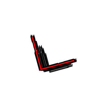 [CaH2].[CaH2].[CaH2].[CaH2].[CaH2].[CaH2].[CaH2].[CaH2].[CaH2].[CaH2].[CaH2].[CaH2].[CaH2].[CaH2].[CaH2].[CaH2].[CaH2].[CaH2].[CaH2].[CaH2].[CaH2].[CaH2].[Fe].[Fe].[Fe].[Fe].[Fe].[Fe].[Fe].[Fe].[Fe].[Fe].[Fe].[Fe].[Fe].[Fe].[Fe].[Fe].[Fe].[Fe].[Fe].[Fe].[Fe].[Fe].[MgH2].[MgH2].[MgH2].[MgH2].[MgH2].[MgH2].[MgH2].[MgH2].[MgH2].[MgH2].[MgH2].[MgH2].[MgH2].[MgH2].[MgH2].[MgH2].[MgH2].[MgH2].[MgH2].[MgH2].[MgH2].[MgH2].[MgH2].[MgH2].[MgH2].[MgH2].[MgH2].[MgH2].[MgH2].[MgH2].[MgH2].[MgH2].[MgH2].[MgH2].[MgH2].[MgH2].[MgH2].[MgH2].[MgH2].[MgH2].[MgH2].[MgH2].[MgH2].[MgH2].[MgH2].[MgH2].[MgH2].[MgH2].[MgH2].[MgH2].[MgH2].[MgH2].[MgH2].[MgH2].[MgH2].[MgH2].[MgH2].[MgH2].[MgH2].[MgH2].[MgH2].[MgH2].[MgH2].[MgH2].[MgH2].[MgH2].[MgH2].[MgH2].[MgH2].[MgH2].[MgH2].[MgH2].[MgH2].[MgH2].[MgH2].[MgH2].[Ni].[Ni].[Ni].[Ni].[Ni].[Ni].[Ni].[Ni].[Ni].[Ni].[Ni].[Ni].[Ni].[Ni].[Ni].[Ni].[Ni].[Ni].[Ni].[Ni].[Ni].[Ni]